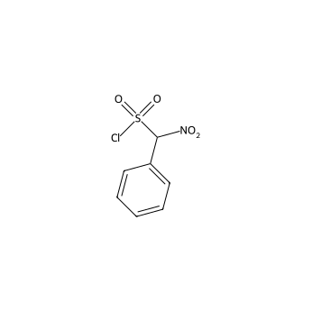 O=[N+]([O-])C(c1ccccc1)S(=O)(=O)Cl